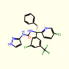 O=C(Nc1cc[nH]n1)N[C@](Cc1ccccc1)(c1cc(F)cc(C(F)(F)F)c1)c1ccc(Cl)cn1